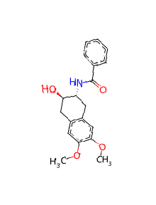 COc1cc2c(cc1OC)C[C@@H](NC(=O)c1ccccc1)[C@H](O)C2